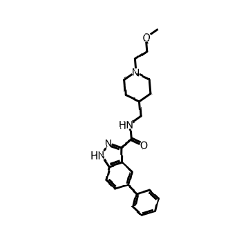 COCCN1CCC(CNC(=O)c2n[nH]c3ccc(-c4ccccc4)cc23)CC1